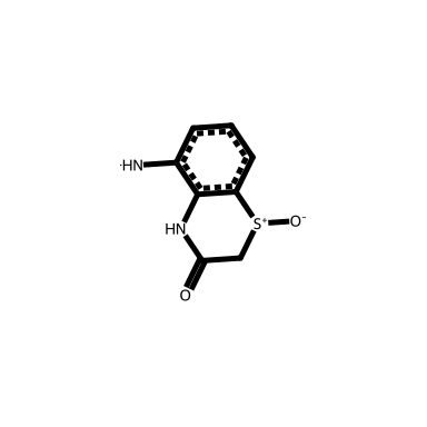 [NH]c1cccc2c1NC(=O)C[S+]2[O-]